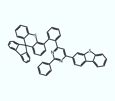 c1ccc(-c2nc(-c3ccc4c(c3)sc3ccccc34)cc(-c3ccccc3-c3cccc4c3Sc3ccccc3C43c4ccccc4-c4ccccc43)n2)cc1